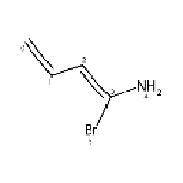 C=C/C=C(/N)Br